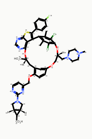 Cc1c(Cl)c2c(Cl)c(C)c1-c1c(-c3ccc(F)cc3)sc3ncnc(c13)O[C@@H](C(=O)O)Cc1cc(ccc1OCc1ccnc(N3C[C@@H]4C(C(=O)O)[C@@H]4C3)n1)OC[C@@H](CN1CCN(C)CC1)O2